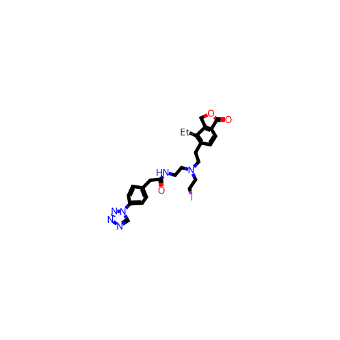 CCc1c(CCN(CCI)CCNC(=O)Cc2ccc(-n3cnnn3)cc2)ccc2c1COC2=O